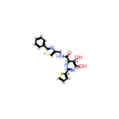 O=C(NCc1csc(-c2ccccc2)n1)c1nc(-c2cccs2)nc(O)c1O